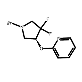 CC(C)N1C[C@H](Oc2ccccn2)C(F)(F)C1